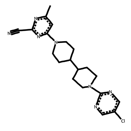 Cc1cc(N2CCC(C3CCN(c4ncc(Cl)cn4)CC3)CC2)nc(C#N)n1